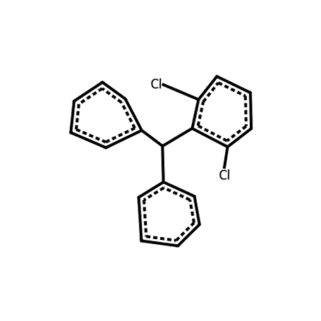 Clc1cccc(Cl)c1C(c1ccccc1)c1ccccc1